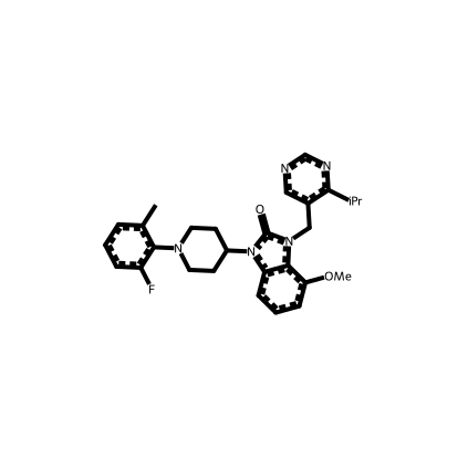 COc1cccc2c1n(Cc1cncnc1C(C)C)c(=O)n2C1CCN(c2c(C)cccc2F)CC1